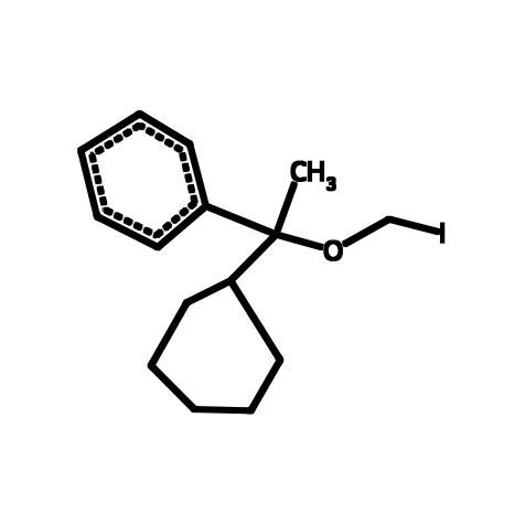 CC(OCI)(c1ccccc1)C1CCCCC1